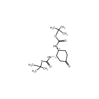 CC(C)(C)OC(=O)N[C@H]1CCC(=O)C[C@@H]1NC(=O)OC(C)(C)C